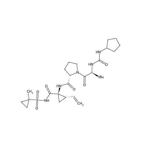 C=C[C@@H]1C[C@]1(NC(=O)[C@@H]1CCCN1C(=O)[C@@H](NC(=O)NC1CCCC1)C(C)(C)C)C(=O)NS(=O)(=O)C1(C)CC1